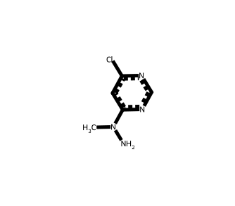 CN(N)c1cc(Cl)ncn1